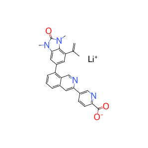 C=C(C)c1cc(-c2cccc3cc(-c4ccc(C(=O)[O-])nc4)ncc23)cc2c1n(C)c(=O)n2C.[Li+]